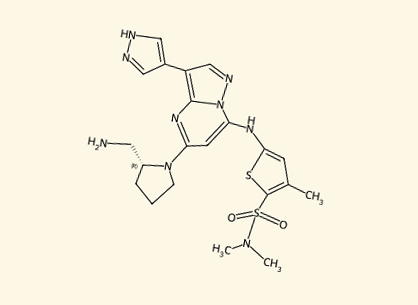 Cc1cc(Nc2cc(N3CCC[C@@H]3CN)nc3c(-c4cn[nH]c4)cnn23)sc1S(=O)(=O)N(C)C